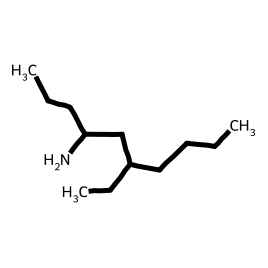 CCCCC(CC)CC(N)CCC